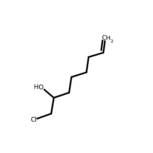 C=CCCCCC(O)CCl